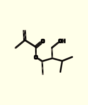 C=C(C)C(=O)OC(C)C(CO)C(C)C